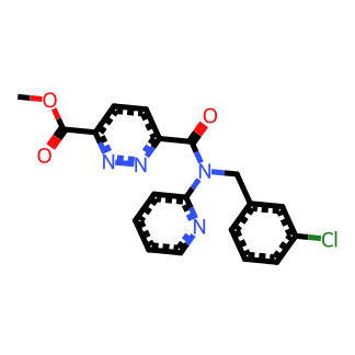 COC(=O)c1ccc(C(=O)N(Cc2cccc(Cl)c2)c2ccccn2)nn1